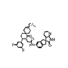 CN1CCC2(CCC(c3cc(F)cc(F)c3)N(CC(=O)Nc3ccc4c(c3)CC3(C4)C(=O)Nc4ncccc43)C2=O)CC1